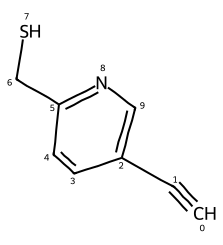 C#Cc1ccc(CS)nc1